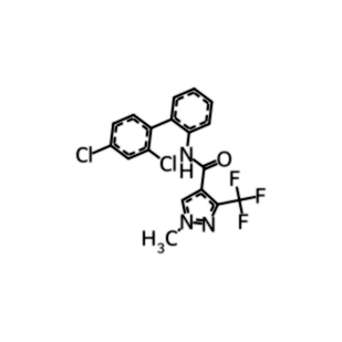 Cn1cc(C(=O)Nc2ccccc2-c2ccc(Cl)cc2Cl)c(C(F)(F)F)n1